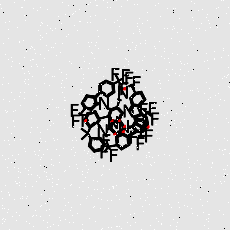 CC1(C)c2ccccc2N(c2ccccc2)c2c(-c3nc(-n4c5cc(C(F)(F)F)ccc5c5ccc(C(F)(F)F)cc54)c(-n4c5cc(C(F)(F)F)ccc5c5ccc(C(F)(F)F)cc54)c(C#N)c3-n3c4cc(C(F)(F)F)ccc4c4ccc(C(F)(F)F)cc43)cccc21